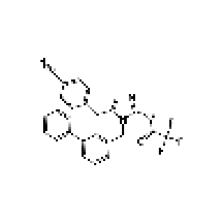 N#Cc1ccc(Cc2cnc(OC(=O)C(F)(F)F)n2Cc2cccc(-c3ccccc3)c2)cc1